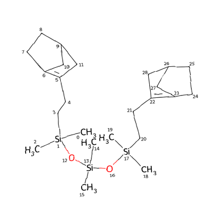 C[Si](C)(CCC1=C2CCC(C2)C1)O[Si](C)(C)O[Si](C)(C)CCC1=C2CCC(C2)C1